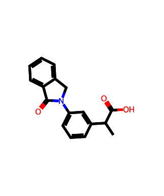 CC(C(=O)O)c1cccc(N2Cc3ccccc3C2=O)c1